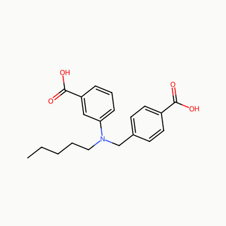 CCCCCN(Cc1ccc(C(=O)O)cc1)c1cccc(C(=O)O)c1